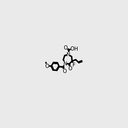 C=CCC1(F)CN(C(=O)O)CCN(C(=O)c2ccc(OC)cc2)C1=O